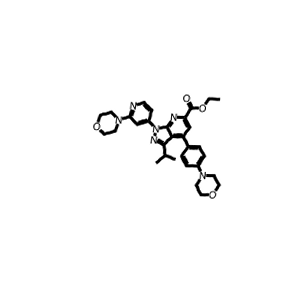 CCOC(=O)c1cc(-c2ccc(N3CCOCC3)cc2)c2c(C(C)C)nn(-c3ccnc(N4CCOCC4)c3)c2n1